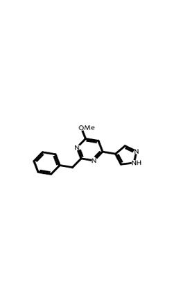 COc1cc(-c2cn[nH]c2)nc(Cc2ccccc2)n1